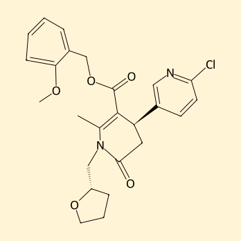 COc1ccccc1COC(=O)C1=C(C)N(C[C@@H]2CCCO2)C(=O)C[C@@H]1c1ccc(Cl)nc1